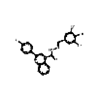 O=C(N/N=C/c1cc(Br)c(O)c(Br)c1)c1cc(-c2ccc(Br)cc2)nc2ccccc12